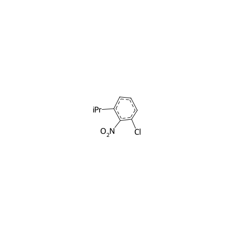 [CH2]C(C)c1cccc(Cl)c1[N+](=O)[O-]